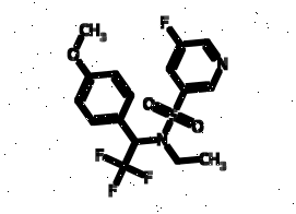 CCN(C(c1ccc(OC)cc1)C(F)(F)F)S(=O)(=O)c1cncc(F)c1